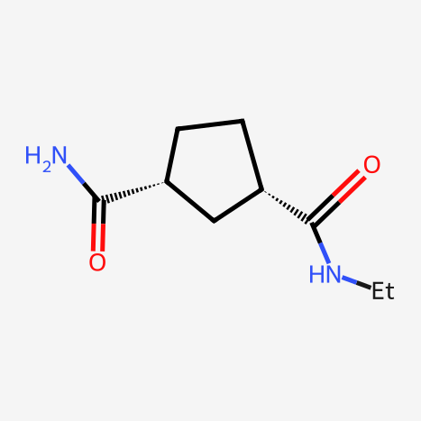 CCNC(=O)[C@H]1CC[C@@H](C(N)=O)C1